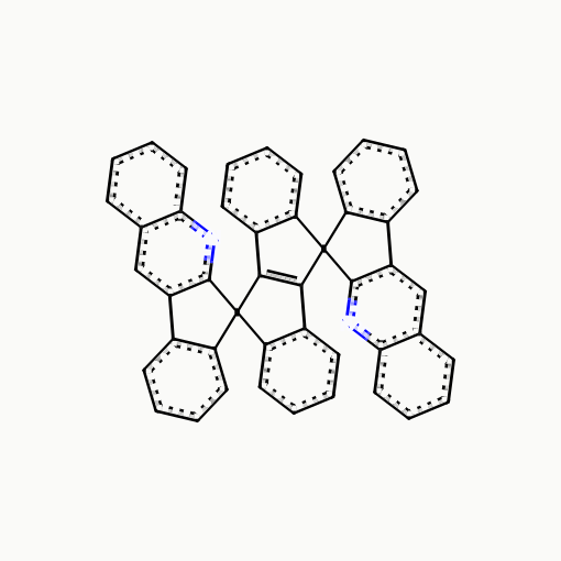 c1ccc2c(c1)C1=C(c3ccccc3C13c1ccccc1-c1cc4ccccc4nc13)C21c2ccccc2-c2cc3ccccc3nc21